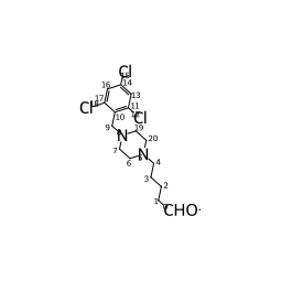 O=[C]CCCCN1CCN(Cc2c(Cl)cc(Cl)cc2Cl)CC1